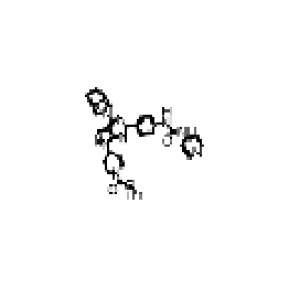 CC(C)OC(=O)N1CCC(n2ncc3c(N4CC5CCC(C4)O5)nc(-c4ccc(NC(=O)Nc5ccncc5)cc4)nc32)CC1